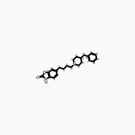 O=c1[nH]c2ccc(CCCCN3CCC(Cc4ccccc4)CC3)cc2o1